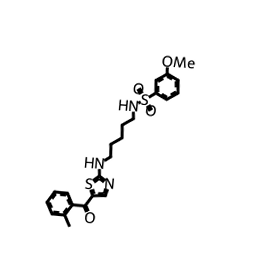 COc1cccc(S(=O)(=O)NCCCCCNc2ncc(C(=O)c3ccccc3C)s2)c1